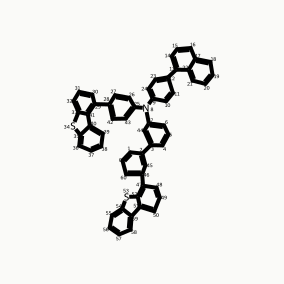 c1cc(-c2cccc(N(c3ccc(-c4cccc5ccccc45)cc3)c3ccc(-c4cccc5sc6ccccc6c45)cc3)c2)cc(-c2cccc3c2sc2ccccc23)c1